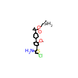 COc1cc(-c2sc(Cl)cc2N)ccc1-c1ccc(C2(C(=O)OCC[SiH2]C)CC2)cc1